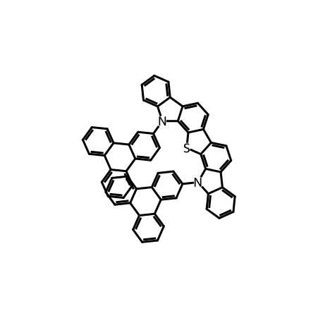 c1ccc2c(c1)c1ccccc1c1cc(-n3c4ccccc4c4ccc5c6ccc7c8ccccc8n(-c8ccc9c%10ccccc%10c%10ccccc%10c9c8)c7c6sc5c43)ccc21